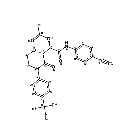 [C-]#[N+]c1ccc(NC(=O)[C@H](OC(C)=O)[C@H]2OCCN(c3ccc(C(F)(F)F)cc3)C2=O)cc1